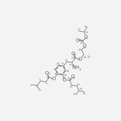 CC(C)CCC(=O)Oc1ccc(C[C@H](N)C(=O)O[C@@H](C)COC(=O)OC(C)C)cc1OC(=O)CCC(C)C